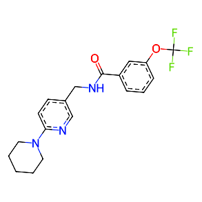 O=C(NCc1ccc(N2CCCCC2)nc1)c1cccc(OC(F)(F)F)c1